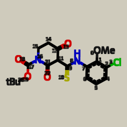 COc1c(Cl)cccc1NC(=S)C1C(=O)CCN(C(=O)OC(C)(C)C)C1=O